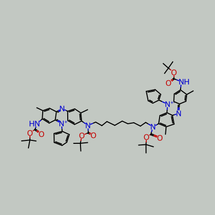 Cc1cc2nc3cc(C)c(N(CCCCCCCCCN(C(=O)OC(C)(C)C)c4cc5c(cc4C)nc4cc(C)c(NC(=O)OC(C)(C)C)cc4[n+]5-c4ccccc4)C(=O)OC(C)(C)C)cc3[n+](-c3ccccc3)c2cc1NC(=O)OC(C)(C)C